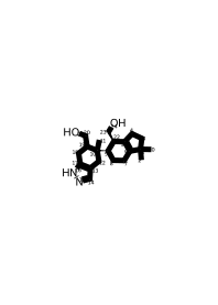 CC1(C)CCC2=C1CC[C@H](C1(C)Cc3cn[nH]c3CC1CO)[C@H]2CO